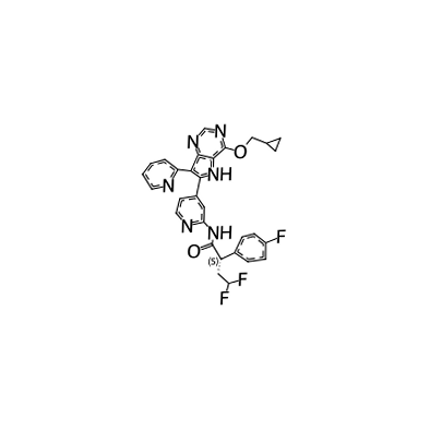 O=C(Nc1cc(-c2[nH]c3c(OCC4CC4)ncnc3c2-c2ccccn2)ccn1)[C@@H](CC(F)F)c1ccc(F)cc1